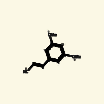 COc1cc(C=CC#N)cc(OC)c1